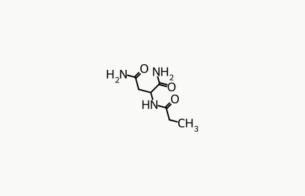 CCC(=O)NC(CC(N)=O)C(N)=O